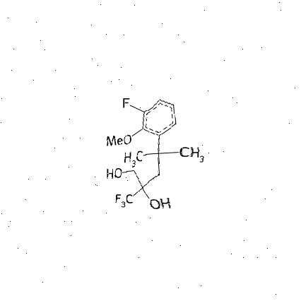 COc1c(F)cccc1C(C)(C)CC(O)(CO)C(F)(F)F